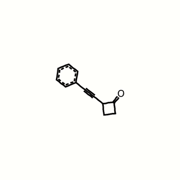 O=C1CCC1C#Cc1ccccc1